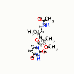 COC1[C@@H](C)[C@@H]([C@@H](C)CCNC(C)=O)O[C@H]1n1ccc(=O)[nH]c1=O